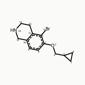 Brc1c(OCC2CC2)ccc2c1CCNC2